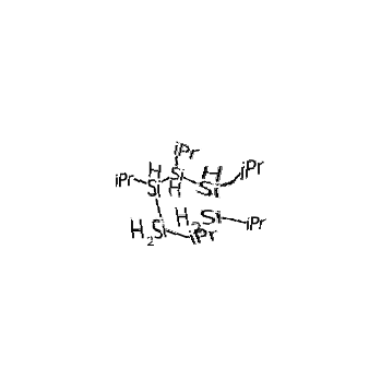 CC(C)[SiH2][SiH](C(C)C)[SiH](C(C)C)[SiH]([SiH2]C(C)C)C(C)C